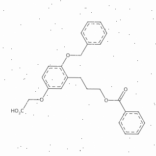 O=C(O)COc1ccc(OCc2ccccc2)c(CCCOC(=O)c2ccccc2)c1